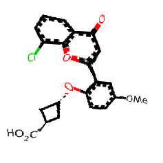 COc1ccc(O[C@H]2C[C@H](C(=O)O)C2)c(-c2cc(=O)c3cccc(Cl)c3o2)c1